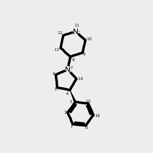 c1ccc([C@H]2CCN(C3CC[N]CC3)C2)cc1